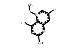 CO[n+]1cc(Br)cc2nc(O)nc(O)c21